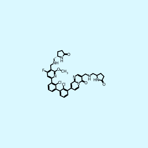 COc1nc(-c2cccc(-c3cccc(-c4ccn5c(=O)c(CNCC6CCC(=O)N6)cnc5c4)c3Cl)c2Cl)cc(F)c1CNC[C@@H]1CCC(=O)N1